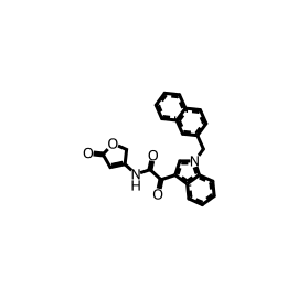 O=C1C=C(NC(=O)C(=O)c2cn(Cc3ccc4ccccc4c3)c3ccccc23)CO1